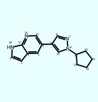 c1cc2cc(-c3cnn(C4CCCC4)c3)cnc2[nH]1